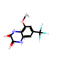 COc1cc(C(F)(F)F)cc2[nH]c(=O)c(=O)[nH]c12